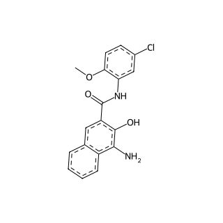 COc1ccc(Cl)cc1NC(=O)c1cc2ccccc2c(N)c1O